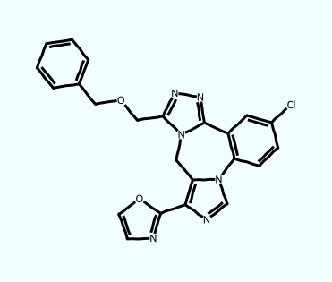 Clc1ccc2c(c1)-c1nnc(COCc3ccccc3)n1Cc1c(-c3ncco3)ncn1-2